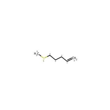 C=CCC[CH]SC